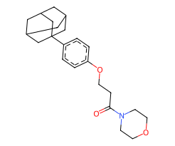 O=C(CCOc1ccc(C23CC4CC(CC(C4)C2)C3)cc1)N1CCOCC1